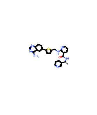 C[C@H](NC(=O)c1cccnc1NCc1ccc(-c2ccc3ncnc(N)c3c2)s1)c1cccnc1